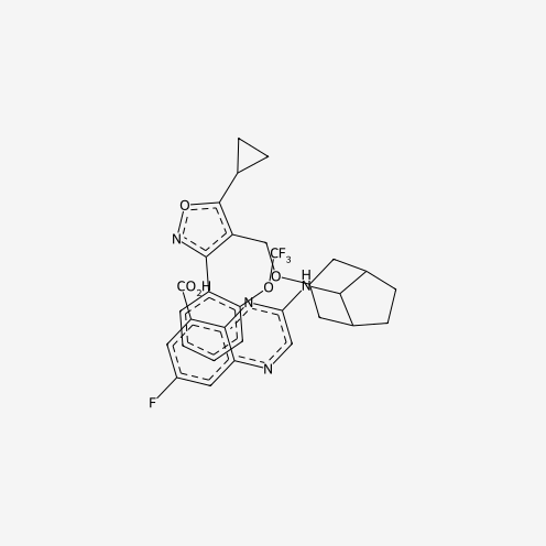 O=C(O)c1cc(F)cc2ncc(NC3C4CCC3CC(OCc3c(-c5ccccc5OC(F)(F)F)noc3C3CC3)C4)nc12